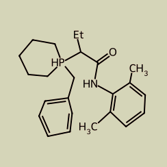 CCC(C(=O)Nc1c(C)cccc1C)[PH]1(Cc2ccccc2)CCCCC1